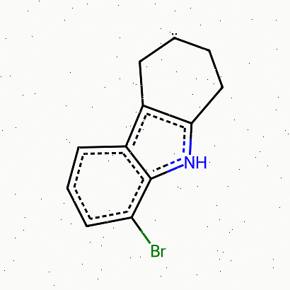 Brc1cccc2c3c([nH]c12)CC[C]C3